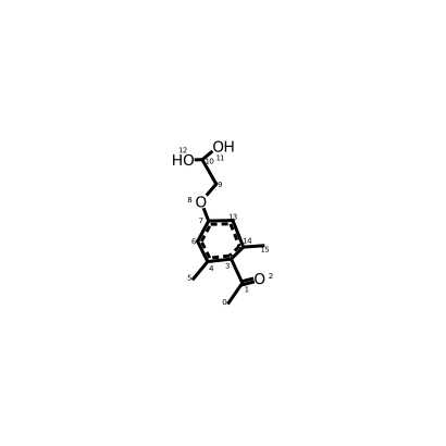 CC(=O)c1c(C)cc(OCC(O)O)cc1C